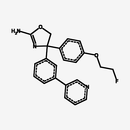 NC1=NC(c2ccc(OCCF)cc2)(c2cccc(-c3cccnc3)c2)CO1